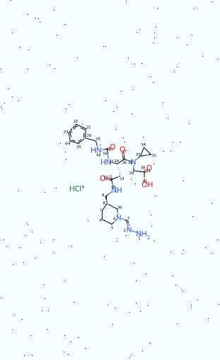 Cl.NN=CN1CCC[C@@H](CNC(=O)C[C@H](NC(=O)NCc2ccccc2)C(=O)N(CC(=O)O)C2CC2)C1